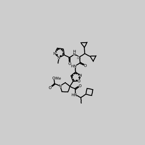 COC(=O)N1CCC(C(=O)NC(C)C2CCC2)(c2cc(NC(=O)[C@@H](NC(=O)c3ccnn3C)C(C3CC3)C3CC3)no2)C1